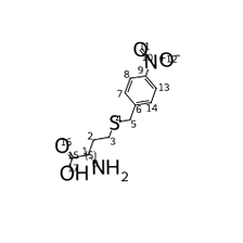 N[C@@H](CCSCc1ccc([N+](=O)[O-])cc1)C(=O)O